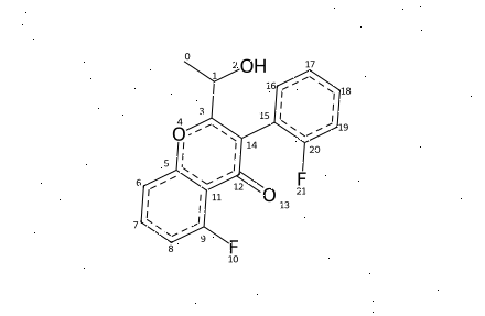 CC(O)c1oc2cccc(F)c2c(=O)c1-c1ccccc1F